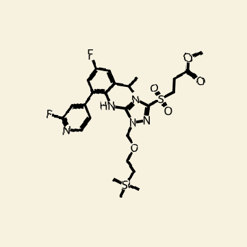 COC(=O)CCS(=O)(=O)c1nc(Nc2c(-c3ccnc(F)c3)cc(F)cc2C(C)C)n(COCC[Si](C)(C)C)n1